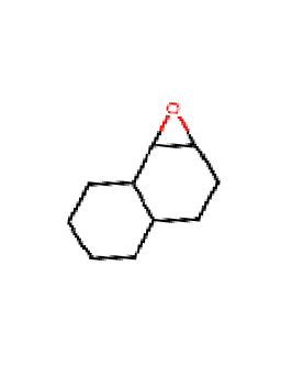 C1CCC2C(C1)CCC1OC12